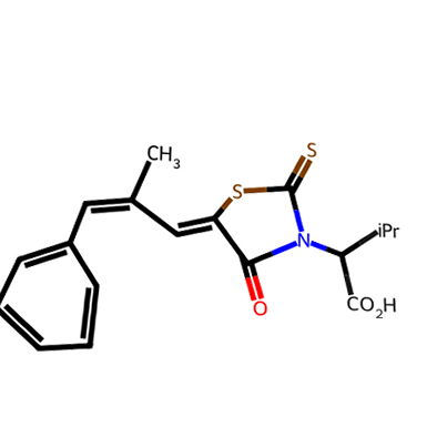 CC(=Cc1ccccc1)C=C1SC(=S)N(C(C(=O)O)C(C)C)C1=O